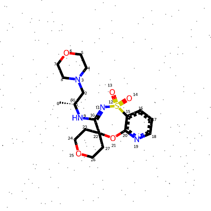 C[C@H](CN1CCOCC1)NC1=NS(=O)(=O)c2cccnc2OC12CCOCC2